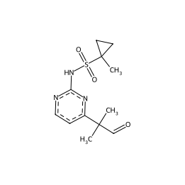 CC(C)(C=O)c1ccnc(NS(=O)(=O)C2(C)CC2)n1